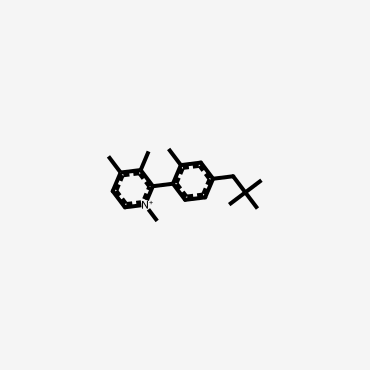 Cc1cc(CC(C)(C)C)ccc1-c1c(C)c(C)cc[n+]1C